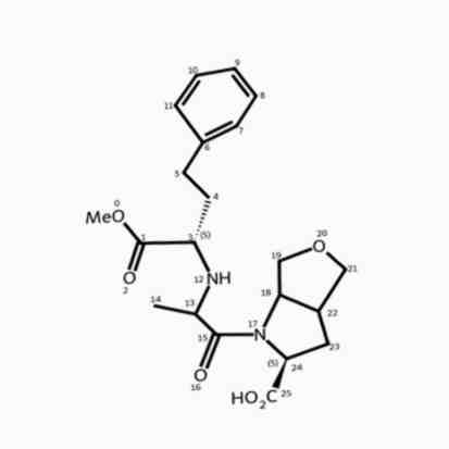 COC(=O)[C@H](CCc1ccccc1)NC(C)C(=O)N1C2COCC2C[C@H]1C(=O)O